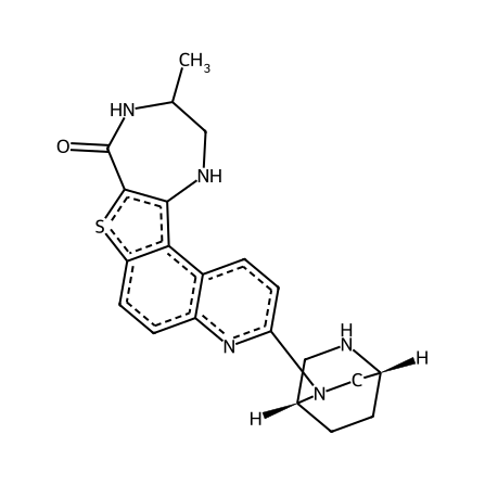 CC1CNc2c(sc3ccc4nc(N5C[C@H]6CC[C@@H]5CN6)ccc4c23)C(=O)N1